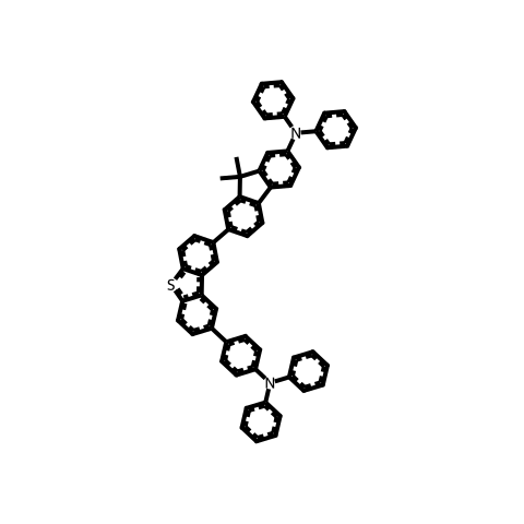 CC1(C)c2cc(-c3ccc4sc5ccc(-c6ccc(N(c7ccccc7)c7ccccc7)cc6)cc5c4c3)ccc2-c2ccc(N(c3ccccc3)c3ccccc3)cc21